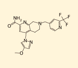 COc1cnn(-c2cc(C(N)=O)nc3c2CCN(Cc2ccnc(C(F)(F)F)c2)C3)c1